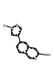 CCn1cc(-c2ccc3cnc(NC)cc3c2)cn1